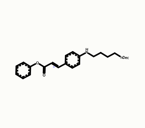 CCCCCCCCCCCCCCNc1ccc(/C=C/C(=O)Oc2ccccc2)cc1